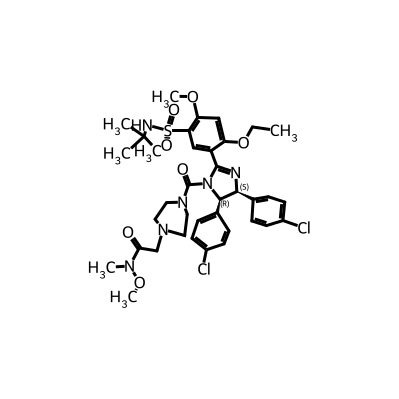 CCOc1cc(OC)c(S(=O)(=O)NC(C)(C)C)cc1C1=N[C@@H](c2ccc(Cl)cc2)[C@@H](c2ccc(Cl)cc2)N1C(=O)N1CCN(CC(=O)N(C)OC)CC1